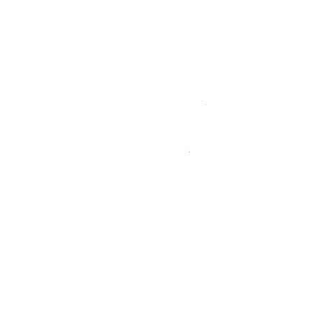 CCCCN1CCN=C1CN(Cc1ccccc1)c1ccc(OC)cc1